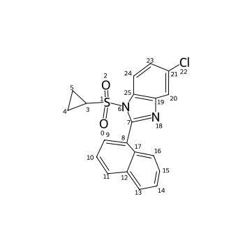 O=S(=O)(C1CC1)n1c(-c2cccc3ccccc23)nc2cc(Cl)ccc21